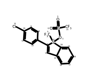 O=S(=O)(OS1(C(F)(F)F)C(c2ccc(Cl)cc2)=Cc2ccccc21)C(F)(F)F